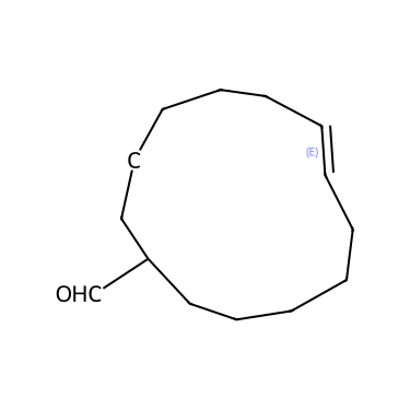 O=CC1CCCCC/C=C/CCCCC1